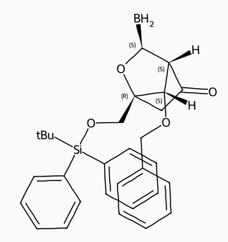 B[C@@H]1O[C@@]2(CO[Si](c3ccccc3)(c3ccccc3)C(C)(C)C)CC(=O)[C@@H]1[C@@H]2OCc1ccccc1